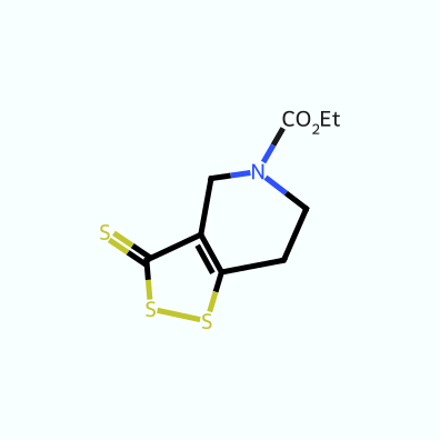 CCOC(=O)N1CCc2ssc(=S)c2C1